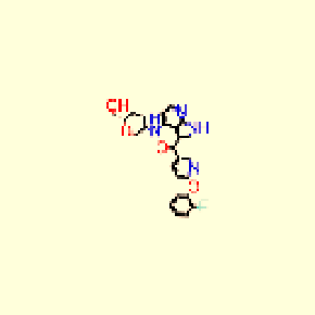 O=C(c1ccc(Oc2ccccc2F)nc1)c1c[nH]c2nccc(N[C@@H]3CC[C@@H](CO)OC3)c12